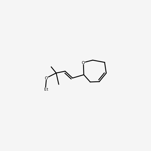 CCOC(C)(C)C=CC1CC=CCCO1